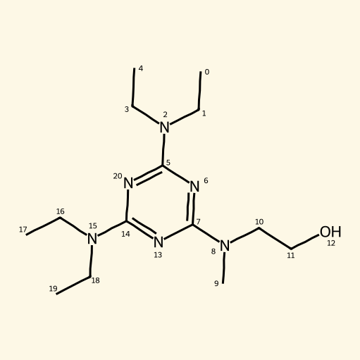 CCN(CC)c1nc(N(C)CCO)nc(N(CC)CC)n1